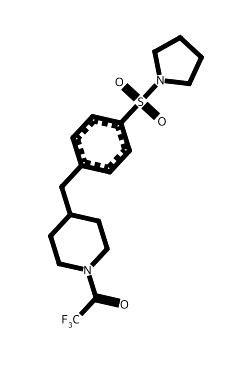 O=C(N1CCC(Cc2ccc(S(=O)(=O)N3CCCC3)cc2)CC1)C(F)(F)F